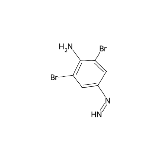 N=Nc1cc(Br)c(N)c(Br)c1